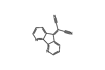 N#CC(C#N)=C1c2cccnc2-c2ncccc21